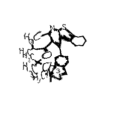 CC(=O)C(OC(C)(C)C)c1c(C)nc2sc3c(c2c1-c1ccc2cnn(C)c2c1)CCCC3